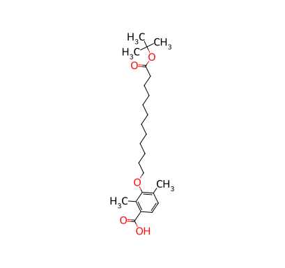 Cc1ccc(C(=O)O)c(C)c1OCCCCCCCCCCCC(=O)OC(C)(C)C